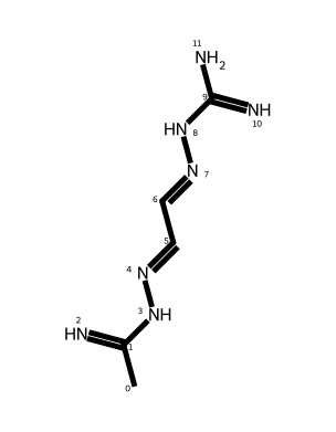 CC(=N)N/N=C/C=N/NC(=N)N